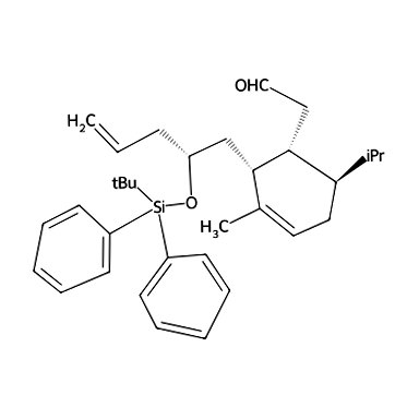 C=CC[C@H](C[C@H]1C(C)=CC[C@H](C(C)C)[C@H]1CC=O)O[Si](c1ccccc1)(c1ccccc1)C(C)(C)C